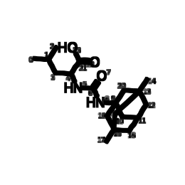 CC(C)CC(NC(=O)NC12CC3CC(C)(CC(C)(C3)C1)C2)C(=O)O